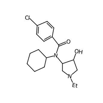 CCN1CC(O)C(N(C(=O)c2ccc(Cl)cc2)C2CCCCC2)C1